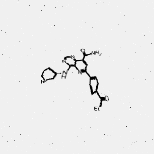 CCC(=O)c1ccc(-c2cc(C(N)=O)c3ncnc(N[C@H]4CCCNC4)c3n2)cc1